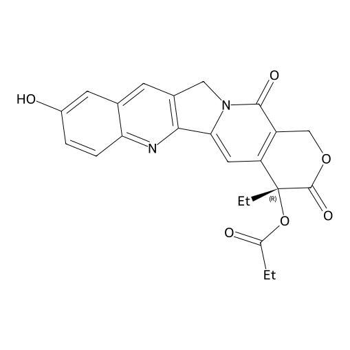 CCC(=O)O[C@@]1(CC)C(=O)OCc2c1cc1n(c2=O)Cc2cc3cc(O)ccc3nc2-1